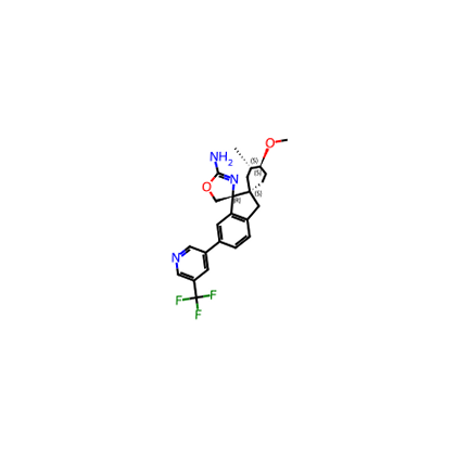 CO[C@H]1CC[C@@]2(Cc3ccc(-c4cncc(C(F)(F)F)c4)cc3[C@@]23COC(N)=N3)C[C@@H]1C